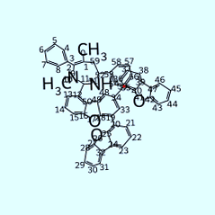 CC1=C(c2ccccc2)N(C)C(c2cccc3oc4c(-c5cccc6c5oc5ccccc56)cc(-c5cccc6c5oc5ccccc56)cc4c23)NC(c2ccccc2)C1